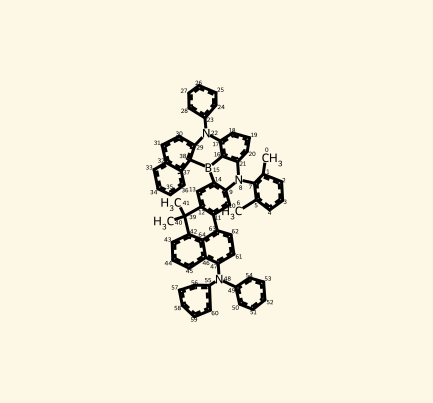 Cc1cccc(C)c1N1c2cc3c(cc2B2c4c(cccc41)N(c1ccccc1)c1ccc4ccccc4c12)C(C)(C)c1cccc2c(N(c4ccccc4)c4ccccc4)ccc-3c12